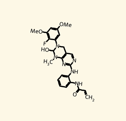 C=CC(=O)Nc1ccccc1Nc1ncc2c(n1)N(C)C(O)N(c1cc(OC)cc(OC)c1F)C2